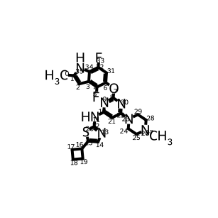 Cc1cc2c(F)c(Oc3nc(Nc4ncc(C5CCC5)s4)cc(N4CCN(C)CC4)n3)cc(F)c2[nH]1